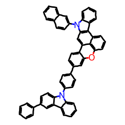 c1ccc(-c2ccc3c(c2)c2ccccc2n3-c2ccc(-c3ccc4c(c3)Oc3cccc5c3c-4cc3c5c4ccccc4n3-c3ccc4ccccc4c3)cc2)cc1